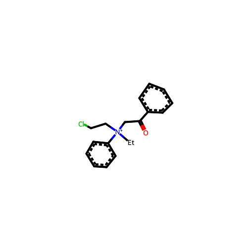 CC[N+](CCCl)(CC(=O)c1ccccc1)c1ccccc1